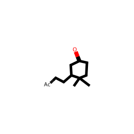 CC(=O)CCC1CC(=O)CCC1(C)C